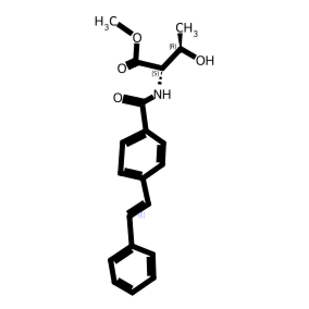 COC(=O)[C@@H](NC(=O)c1ccc(/C=C/c2ccccc2)cc1)[C@@H](C)O